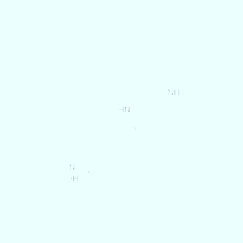 O=C(CCCCCC(=O)NCCC1CNc2ccccc21)NO